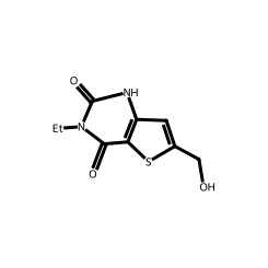 CCn1c(=O)[nH]c2cc(CO)sc2c1=O